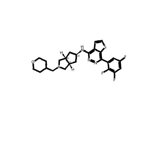 Fc1cc(F)c(F)c(-c2nnc(N[C@H]3C[C@@H]4CN(CC5CCOCC5)C[C@@H]4C3)c3ccsc23)c1